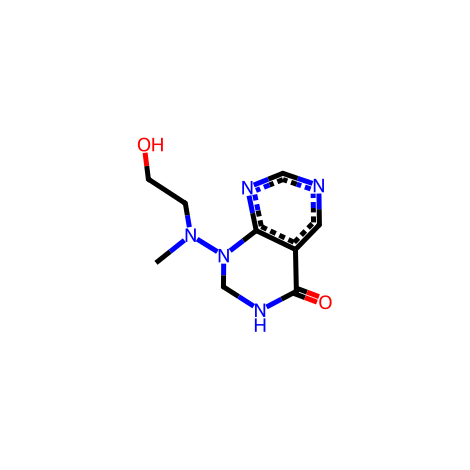 CN(CCO)N1CNC(=O)c2cncnc21